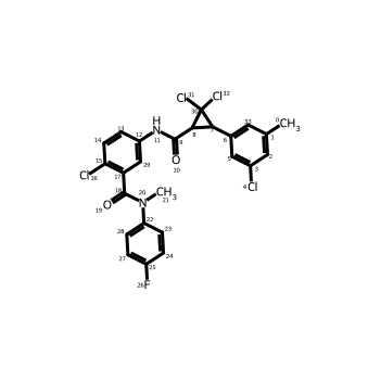 Cc1cc(Cl)cc(C2C(C(=O)Nc3ccc(Cl)c(C(=O)N(C)c4ccc(F)cc4)c3)C2(Cl)Cl)c1